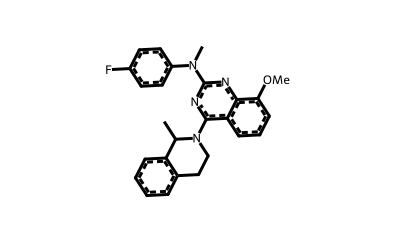 COc1cccc2c(N3CCc4ccccc4C3C)nc(N(C)c3ccc(F)cc3)nc12